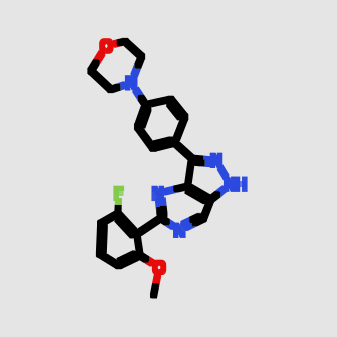 COc1cccc(F)c1-c1ncc2[nH]nc(-c3ccc(N4CCOCC4)cc3)c2n1